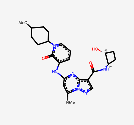 CNc1cc(Nc2cccn(C3CCC(OC)CC3)c2=O)nc2c(C(=O)N[C@@H]3CC[C@H]3O)cnn12